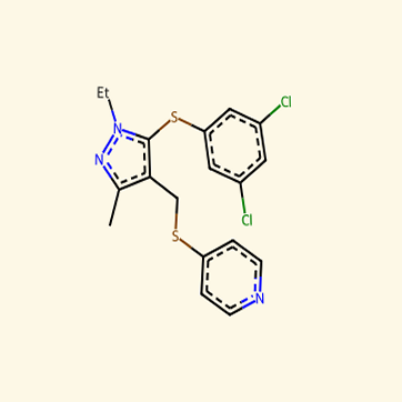 CCn1nc(C)c(CSc2ccncc2)c1Sc1cc(Cl)cc(Cl)c1